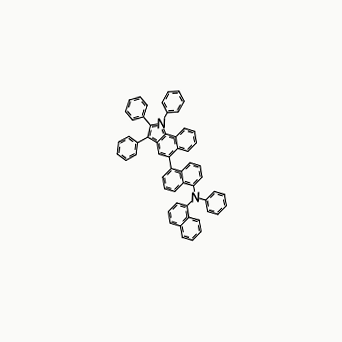 c1ccc(-c2c(-c3ccccc3)n(-c3ccccc3)c3c2cc(-c2cccc4c(N(c5ccccc5)c5cccc6ccccc56)cccc24)c2ccccc23)cc1